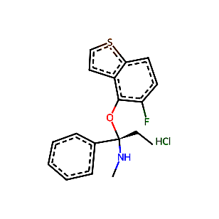 CC[C@](NC)(Oc1c(F)ccc2sccc12)c1ccccc1.Cl